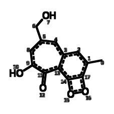 Cc1cc2cc(CO)cc(O)c(=O)c2c2ooc12